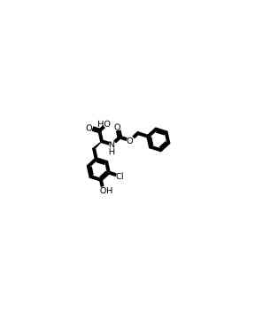 O=C(N[C@@H](Cc1ccc(O)c(Cl)c1)C(=O)O)OCc1ccccc1